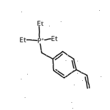 C=Cc1ccc(C[P+](CC)(CC)CC)cc1